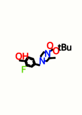 CC1CN(Cc2ccc(CO)c(F)c2)CCN1C(=O)OC(C)(C)C